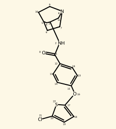 O=C(NC1CC2CCN(CC2)C1)c1ccc(Oc2ccc(Cl)s2)cc1